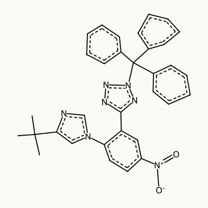 CC(C)(C)c1cn(-c2ccc([N+](=O)[O-])cc2-c2nnn(C(c3ccccc3)(c3ccccc3)c3ccccc3)n2)cn1